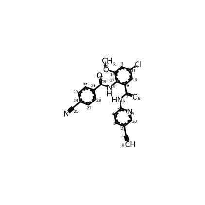 C#Cc1ccc(NC(=O)c2cc(Cl)cc(OC)c2NC(=O)c2ccc(C#N)cc2)nc1